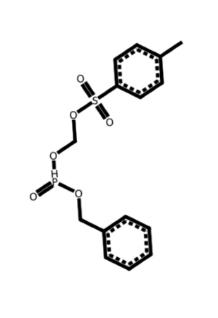 Cc1ccc(S(=O)(=O)OCO[PH](=O)OCc2ccccc2)cc1